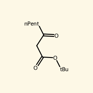 CCCCCC(=O)CC(=O)OC(C)(C)C